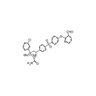 CC(C)(C)[C@](O)(CC(COC(N)=O)c1ccc(S(=O)(=O)c2ccc(Oc3ncccc3C=O)cc2)cc1)c1cccc(Cl)c1